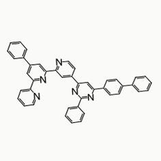 c1ccc(-c2ccc(-c3cc(-c4ccnc(-c5cc(-c6ccccc6)cc(-c6ccccn6)n5)c4)nc(-c4ccccc4)n3)cc2)cc1